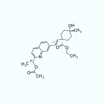 CCOC(=O)[C@]1(/C=C/c2ccc3ccc([C@@H](C)OC(C)=O)nc3c2)CC[C@](C)(O)CC1